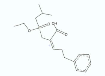 CCOP(=O)(C/C(=C/CCc1ccccc1)C(=O)O)CC(C)C